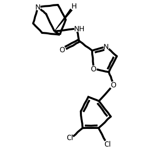 O=C(N[C@H]1CN2CCC1CC2)c1ncc(Oc2ccc(Cl)c(Cl)c2)o1